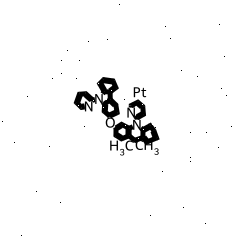 CC1(C)c2ccccc2N(c2ccccn2)c2cc(Oc3ccc4c5ccccc5n(-c5ccccn5)c4c3)ccc21.[Pt]